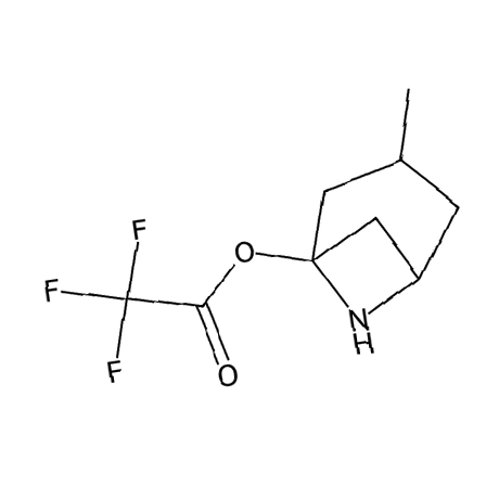 CC1CC2CC(OC(=O)C(F)(F)F)(C1)N2